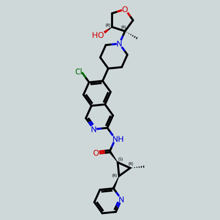 C[C@H]1[C@H](C(=O)Nc2cc3cc(C4CCN([C@]5(C)COC[C@@H]5O)CC4)c(Cl)cc3cn2)[C@@H]1c1ccccn1